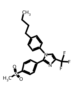 CCCCc1ccc(-n2cc(C(F)(F)F)nc2-c2ccc(S(C)(=O)=O)cc2)cc1